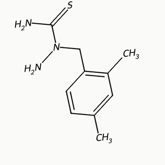 Cc1ccc(CN(N)C(N)=S)c(C)c1